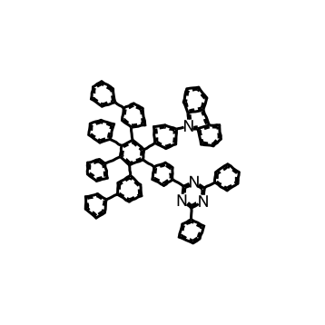 c1ccc(-c2cccc(-c3c(-c4ccccc4)c(-c4ccccc4)c(-c4cccc(-c5ccccc5)c4)c(-c4ccc(-n5c6ccccc6c6ccccc65)cc4)c3-c3ccc(-c4nc(-c5ccccc5)nc(-c5ccccc5)n4)cc3)c2)cc1